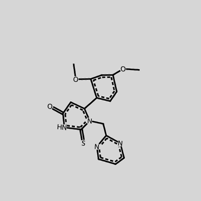 COc1ccc(-c2cc(=O)[nH]c(=S)n2Cc2ncccn2)c(OC)c1